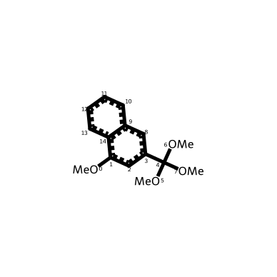 COc1cc(C(OC)(OC)OC)cc2ccccc12